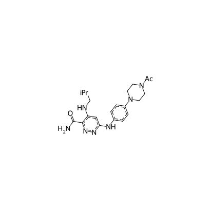 CC(=O)N1CCN(c2ccc(Nc3cc(NCC(C)C)c(C(N)=O)nn3)cc2)CC1